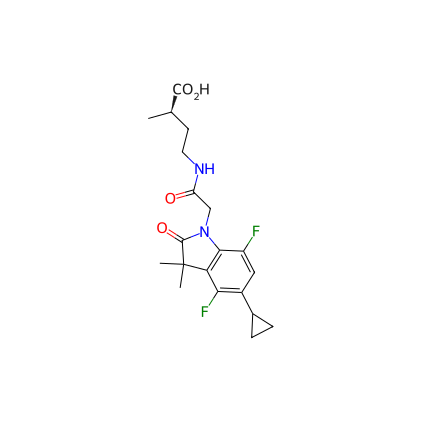 C[C@H](CCNC(=O)CN1C(=O)C(C)(C)c2c(F)c(C3CC3)cc(F)c21)C(=O)O